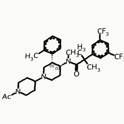 CC(=O)N1CCC(N2CC[C@H](N(C)C(=O)C(C)(C)c3cc(C(F)(F)F)cc(C(F)(F)F)c3)[C@@H](c3ccccc3C)C2)CC1